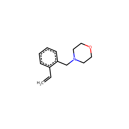 C=Cc1ccccc1CN1CCOCC1